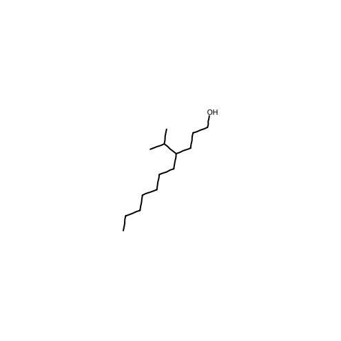 CCCCCCCC(CCCO)C(C)C